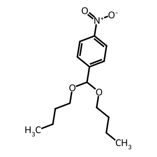 CCCCOC(OCCCC)c1ccc([N+](=O)[O-])cc1